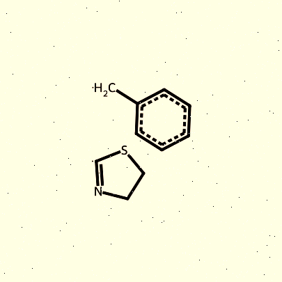 [CH2]c1ccccc1.[C]1=NCCS1